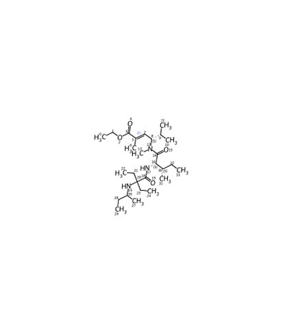 CCOC(=O)/C(C)=C/[C@H](C(C)C)N(C)C(=O)[C@@H](NC(=O)C(CC)(CC)NC(C)CC)[C@@H](C)CC